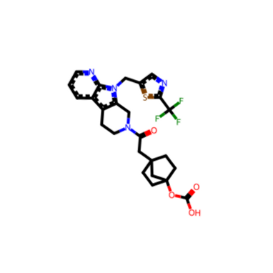 O=C(O)OC12CCC(CC(=O)N3CCc4c(n(Cc5cnc(C(F)(F)F)s5)c5ncccc45)C3)(CC1)C2